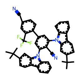 CC(C)(C)c1ccc2c3ccccc3n(-c3cc(-c4ccc(C#N)cc4C(F)(F)F)cc(-n4c5ccccc5c5ccc(C(C)(C)C)cc54)c3C#N)c2c1